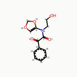 O=C(C(=O)N(CCO)C1=COCO1)c1ccccc1